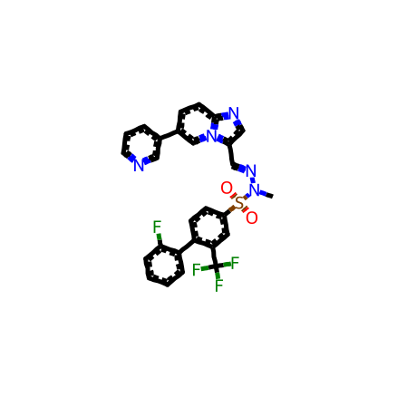 CN(N=Cc1cnc2ccc(-c3cccnc3)cn12)S(=O)(=O)c1ccc(-c2ccccc2F)c(C(F)(F)F)c1